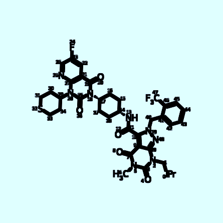 CC(C)Cn1c(=O)n(C)c(=O)c2c(C(=O)N[C@H]3CC[C@@H](n4c(=O)c5cc(F)cnc5n(C5CCSCC5)c4=O)CC3)n(Cc3ccccc3C(F)(F)F)nc21